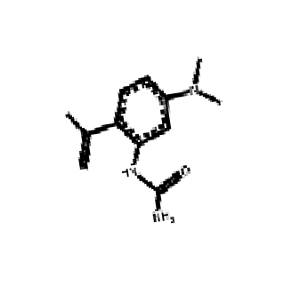 C=C(C)c1ccc(N(C)C)cc1NC(N)=O